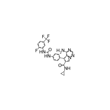 Nc1ncnn2cc(C(=O)NC3CC3)c(-c3ccc(NC(=O)Nc4cc(C(F)(F)F)ccc4F)cc3)c12